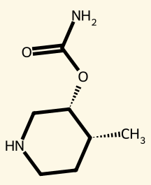 C[C@@H]1CCNC[C@@H]1OC(N)=O